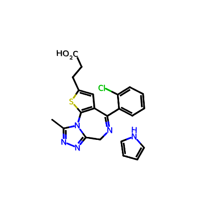 Cc1nnc2n1-c1sc(CCC(=O)O)cc1C(c1ccccc1Cl)=NC2.c1cc[nH]c1